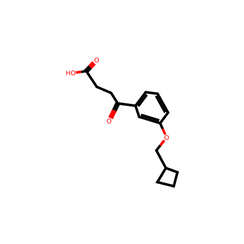 O=C(O)CCC(=O)c1cccc(OCC2CCC2)c1